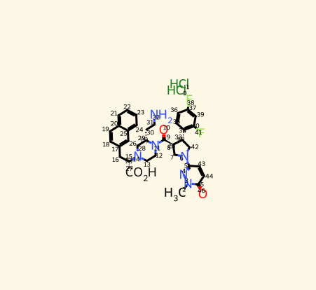 Cl.Cl.Cn1nc(N2C[C@@H](C(=O)N3CCN([C@@H](Cc4ccc5ccccc5c4)C(=O)O)C[C@@H]3CCN)[C@H](c3ccc(F)cc3F)C2)ccc1=O